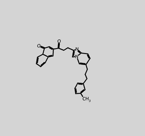 Cc1cccc(CCCc2ccc3nc(CCC(=O)C4=CC(=O)C5C=CC=CC5=C4)cn3c2)c1